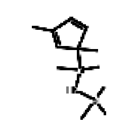 CC1=CC(C)([Si](C)(C)N[Si](C)(C)C)C=C1